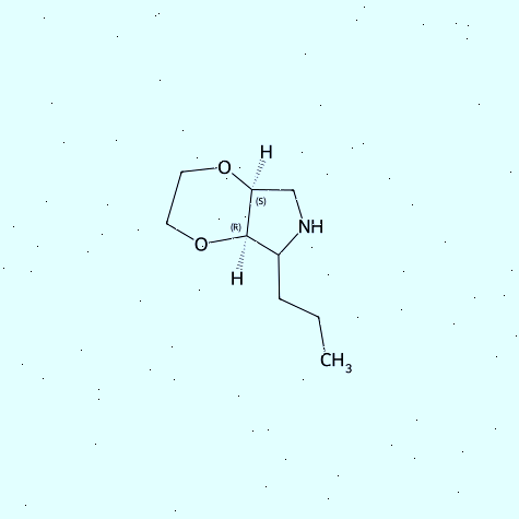 CCCC1NC[C@@H]2OCCO[C@H]12